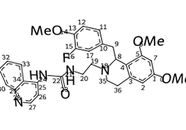 COc1cc2c(c(OC)c1)C(Cc1ccc(OC)c(F)c1)N(CCNC(=O)Nc1ccnc3ccccc13)CC2